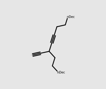 [C]#CC(C#CCCCCCCCCCCCC)CCCCCCCCCCCC